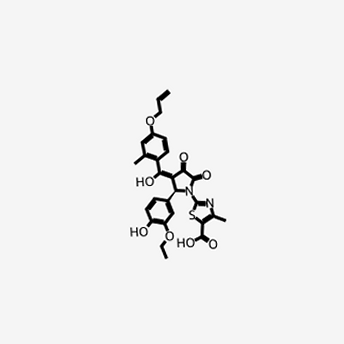 C=CCOc1ccc(C(O)=C2C(=O)C(=O)N(c3nc(C)c(C(=O)O)s3)[C@H]2c2ccc(O)c(OCC)c2)c(C)c1